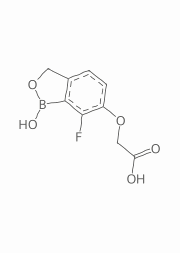 O=C(O)COc1ccc2c(c1F)B(O)OC2